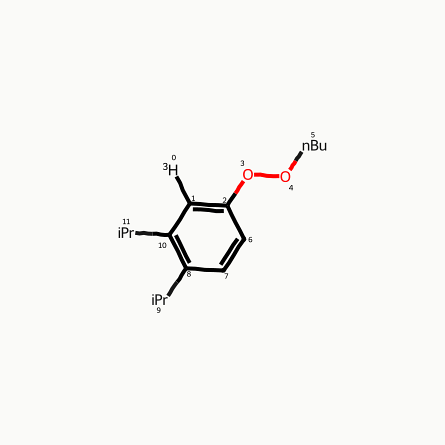 [3H]c1c(OOCCCC)ccc(C(C)C)c1C(C)C